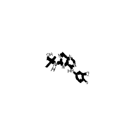 CC(C)(CO)Nc1ncc2ncnc(Nc3ccc(F)c(Cl)c3)c2n1